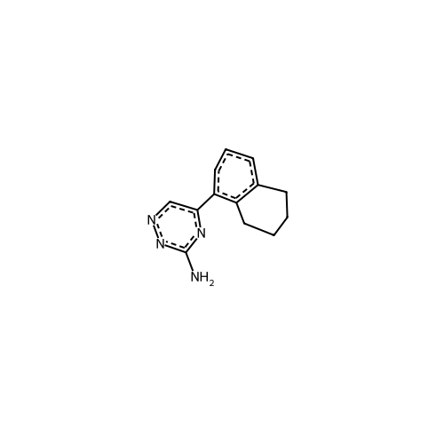 Nc1nncc(-c2cccc3c2CCCC3)n1